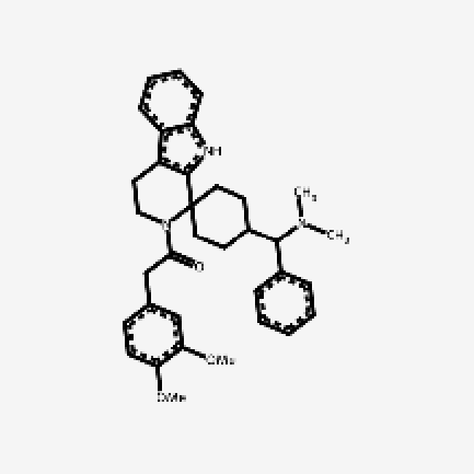 COc1ccc(CC(=O)N2CCc3c([nH]c4ccccc34)C23CCC(C(c2ccccc2)N(C)C)CC3)cc1OC